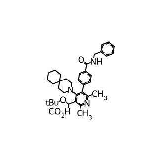 Cc1nc(C)c(C(OC(C)(C)C)C(=O)O)c(N2CCC3(CCCCC3)CC2)c1-c1ccc(C(=O)NCc2ccccc2)cc1